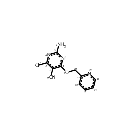 N#Cc1c(Cl)nc(N)nc1OCc1ccccn1